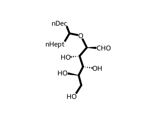 CCCCCCCCCCC(CCCCCCC)O[C@@H](C=O)[C@@H](O)[C@H](O)[C@H](O)CO